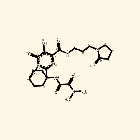 CN(C)C(=O)C(=O)NC12CCC(CC1)Cn1c2nc(C(=O)NCCCN2CCCC2=O)c(O)c1=O